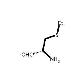 CCSC[C@H](N)[C]=O